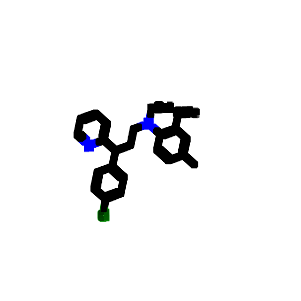 CCCCCCCCN(CCC(c1ccc(Cl)cc1)c1ccccn1)c1ccc(C)cc1OC